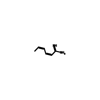 C/C=C\C=C/C(=N)N